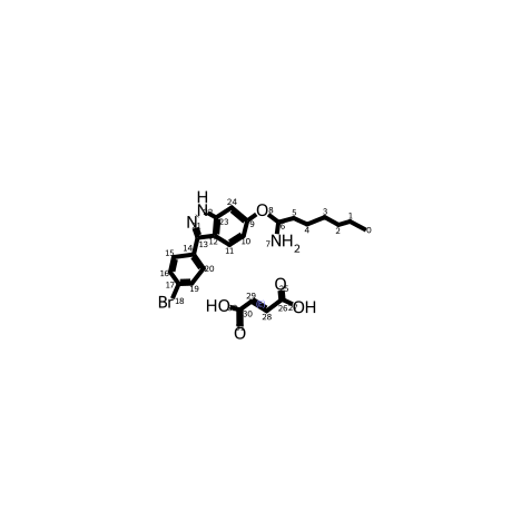 CCCCCCC(N)Oc1ccc2c(-c3ccc(Br)cc3)n[nH]c2c1.O=C(O)/C=C/C(=O)O